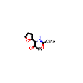 COC(=O)N[C@H](C(=O)C(C)C)C1CCCO1